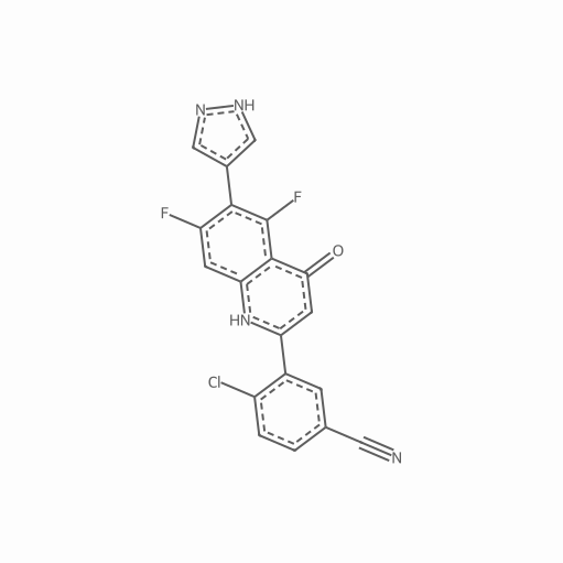 N#Cc1ccc(Cl)c(-c2cc(=O)c3c(F)c(-c4cn[nH]c4)c(F)cc3[nH]2)c1